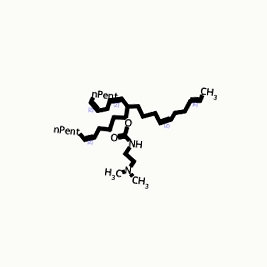 C/C=C/CC/C=C\CCCC(/C=C\C/C=C\CCCCC)C(CCC/C=C\CCCCC)OC(=O)NCCN(C)C